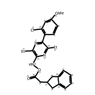 CCc1nc(-c2ccc(OC)cc2Cl)c(CC)nc1NOC(=O)CC1Cc2ccccc2C1